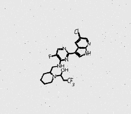 OC(CC(F)(F)F)N1CCCCC1CNc1nc(-c2c[nH]c3ncc(Cl)cc23)ncc1F